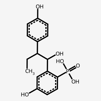 CCC(c1ccc(O)cc1)C(O)c1cc(O)ccc1P(=O)(O)O